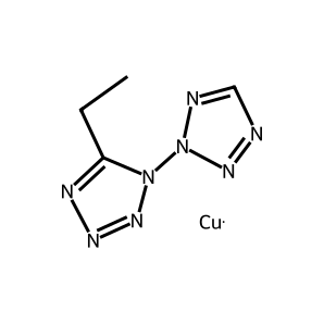 CCc1nnnn1-n1ncnn1.[Cu]